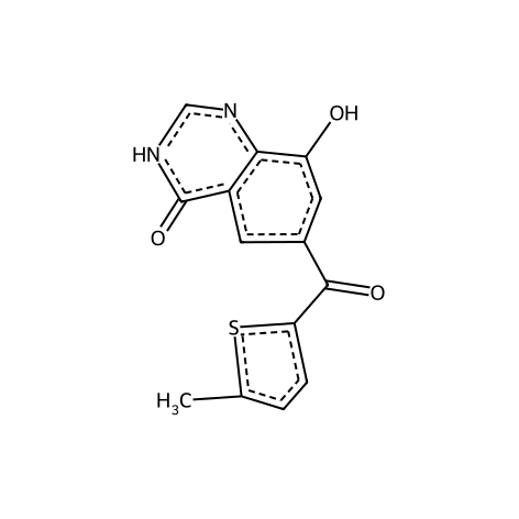 Cc1ccc(C(=O)c2cc(O)c3nc[nH]c(=O)c3c2)s1